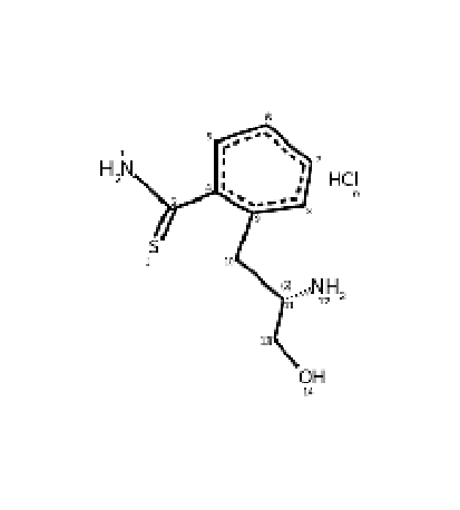 Cl.NC(=S)c1ccccc1C[C@H](N)CO